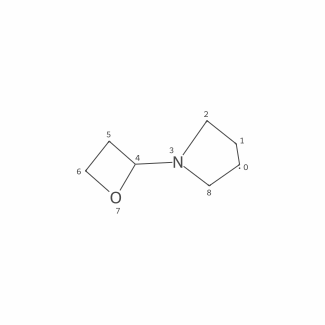 [CH]1CCN(C2CCO2)C1